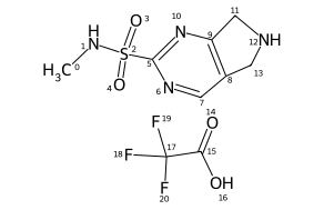 CNS(=O)(=O)c1ncc2c(n1)CNC2.O=C(O)C(F)(F)F